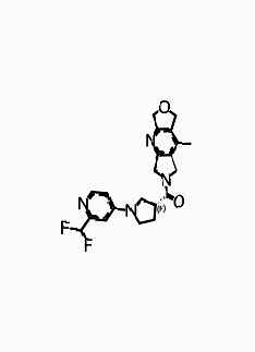 Cc1c2c(nc3c1CN(C(=O)[C@@H]1CCN(c4ccnc(C(F)F)c4)C1)C3)COC2